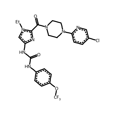 CCn1cc(NC(=O)Nc2ccc(OC(F)(F)F)cc2)nc1C(=O)N1CCN(c2ccc(Cl)cn2)CC1